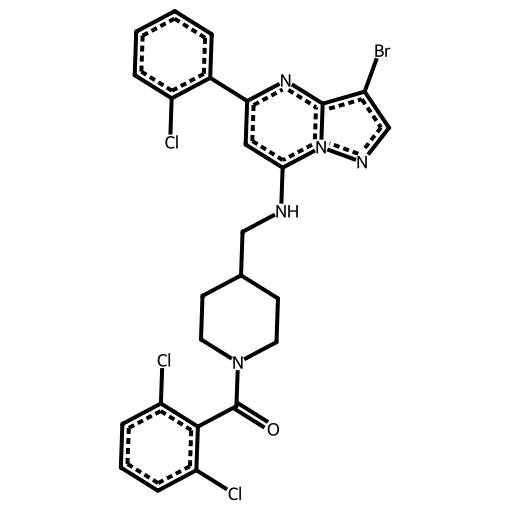 O=C(c1c(Cl)cccc1Cl)N1CCC(CNc2cc(-c3ccccc3Cl)nc3c(Br)cnn23)CC1